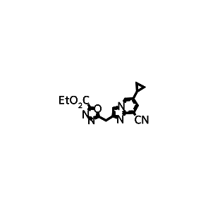 CCOC(=O)c1nnc(Cc2cn3cc(C4CC4)cc(C#N)c3n2)o1